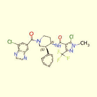 Cn1nc(C(F)(F)F)c(C(=O)N[C@@H]2CCN(C(=O)c3cc(Cl)c4nccnc4c3)C[C@@H]2c2ccccc2)c1Cl